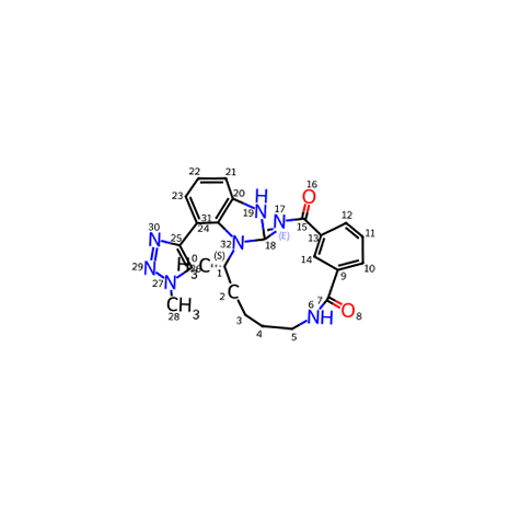 C[C@H]1CCCCNC(=O)c2cccc(c2)C(=O)/N=C2\Nc3cccc(-c4cn(C)nn4)c3N21